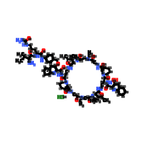 CC[C@H](C)[C@H]1C(=O)NC[C@@H](NC(=O)c2nc3ccccc3cc2OCc2ccc(NC(=O)[C@H](CCCNC(N)=O)NC(=O)[C@@H](N)C(C)C)cc2)C(=O)N2CCCC[C@H]2C(=O)NCC(=O)N(C)CC(=O)N(C)[C@@H]([C@@H](C)CC)C(=O)NC[C@@H](NC(=O)c2nc3ccccc3cc2O)C(=O)N2CCCC[C@H]2C(=O)NCC(=O)N(C)CC(=O)N1C.Cl